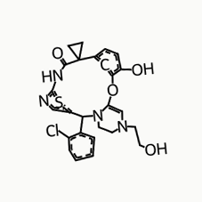 O=C1Nc2ncc(s2)C(c2ccccc2Cl)N2CCN(CCO)C=C2Oc2cc(ccc2O)C12CC2